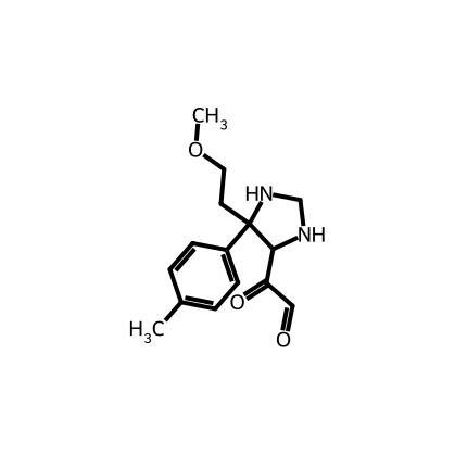 COCCC1(c2ccc(C)cc2)NCNC1C(=O)C=O